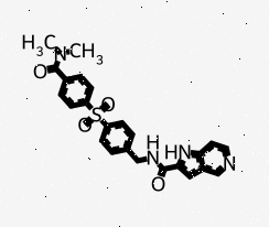 CN(C)C(=O)c1ccc(S(=O)(=O)c2ccc(CNC(=O)c3cc4cnccc4[nH]3)cc2)cc1